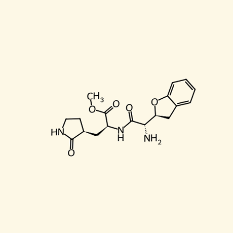 COC(=O)[C@H](C[C@@H]1CCNC1=O)NC(=O)[C@@H](N)[C@@H]1Cc2ccccc2O1